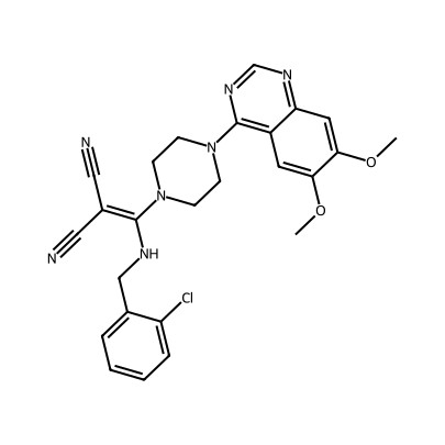 COc1cc2ncnc(N3CCN(C(NCc4ccccc4Cl)=C(C#N)C#N)CC3)c2cc1OC